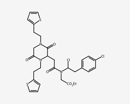 CCOC(=O)CN(C(=O)CC1C(=O)N(CCc2cccs2)CC(=O)N1CCc1cccs1)C(Cl)Cc1ccc(Cl)cc1